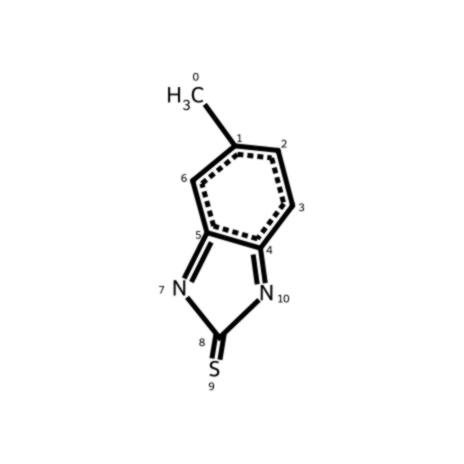 Cc1ccc2c(c1)=NC(=S)N=2